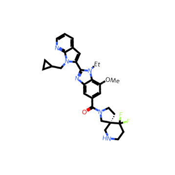 CCn1c(-c2cc3cccnc3n2CC2CC2)nc2cc(C(=O)N3CC[C@]4(CNCCC4(F)F)C3)cc(OC)c21